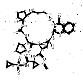 C=C[C@@H]1C[C@]1(NC(=O)[C@@H]1C[C@@H]2CN1C(=O)[C@H](C1CCCC1)NC(=O)O[C@@H]1CCC[C@H]1CCCCCn1c(nc3ccccc3c1=O)O2)C(=O)NS(=O)(=O)C1CC1